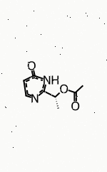 CC(=O)O[C@H](C)c1nccc(=O)[nH]1